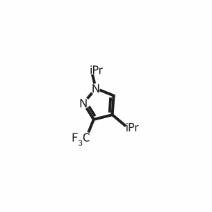 CC(C)c1cn(C(C)C)nc1C(F)(F)F